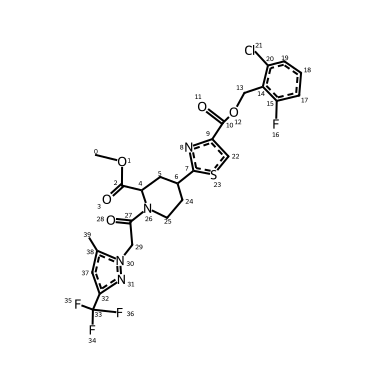 COC(=O)C1CC(c2nc(C(=O)OCc3c(F)cccc3Cl)cs2)CCN1C(=O)Cn1nc(C(F)(F)F)cc1C